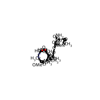 CNN(C)Cc1cocc1COC(=O)N[C@@H](CCC(N)=O)C(=O)NCCOCCOCCC(=O)N(C)[C@@H](C)C(=O)O[C@H]1CC(=O)N(C)c2cc(cc(OC)c2Cl)C/C(C)=C/C=C/[C@@H](O)[C@@]2(O)C[C@H](OC(=O)N2)[C@@H](C)C2O[C@]21C